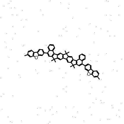 Cc1ccc2c(c1)oc1cc(-c3cc4c(c5ccccc35)-c3cc5c(cc3C4(C)C)-c3cc4c(cc3C5(C)C)-c3c(cc(-c5ccc6c(c5)oc5cc(C)ccc56)c5ccccc35)C4(C)C)ccc12